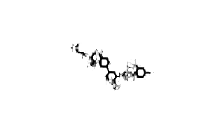 COc1ncc(-c2ccc3ncc(OCCN(C)C)c(=O)n3c2)cc1NCS(=O)(=O)c1ccc(C)cc1Cl